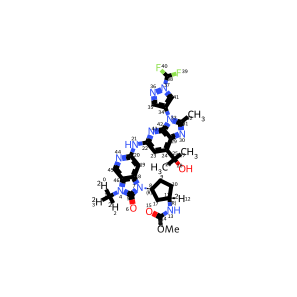 [2H]C([2H])([2H])n1c(=O)n([C@@H]2CC[C@@]([2H])(NC(=O)OC)C2)c2cc(Nc3cc(C(C)(C)O)c4nc(C)n(-c5cnn(C(F)F)c5)c4n3)ncc21